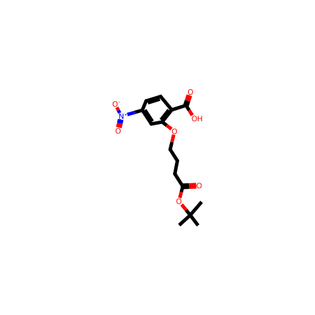 CC(C)(C)OC(=O)CCCOc1cc([N+](=O)[O-])ccc1C(=O)O